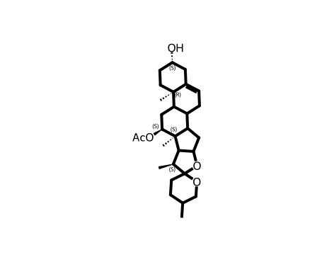 CC(=O)O[C@H]1CC2C(CC=C3C[C@@H](O)CC[C@@]32C)C2CC3OC4(CCC(C)CO4)[C@@H](C)C3[C@]21C